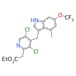 CCOC(=O)Cc1ncc(Cl)c(Cc2c[nH]c3cc(OC(F)(F)F)cc(C)c23)c1Cl